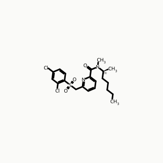 CCCCC[C@H](C)N(C)C(=O)c1cccc(CS(=O)(=O)c2ccc(Cl)cc2Cl)n1